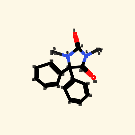 CC(C)N1C(=O)N(C(C)C)C(c2ccccc2)(c2ccccc2)C1=O